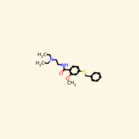 CCN(CC)CCNC(=O)c1ccc(SCc2ccccc2)cc1OC